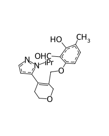 Cc1ccc(OCC2=C(c3ccnn3C(C)C)CCOC2)c(C=O)c1O